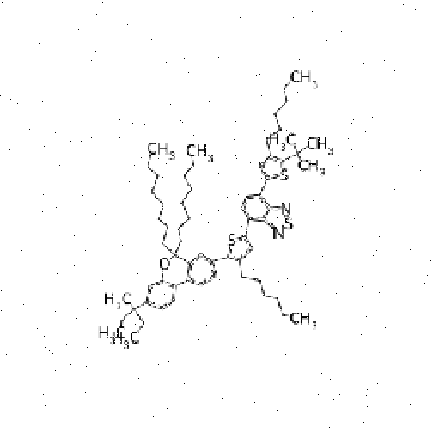 CCCCCCCCC1(CCCCCCCC)Oc2cc(C(C)(CC)CC)ccc2-c2ccc(-c3sc(-c4ccc(-c5cc(CCCCCC)c(C(C)(C)C)s5)c5nsnc45)cc3CCCCCC)cc21